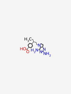 CCC(CCn1ccc2nc(N)nc(N)c21)c1ccc(C(=O)O)cc1